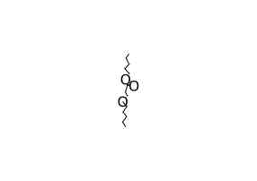 CCCCCOCCC(=O)OCCCCC